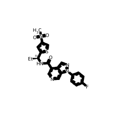 CC[C@H](NC(=O)c1cncc2c1cnn2-c1ccc(F)cc1)c1cc(S(C)(=O)=O)cs1